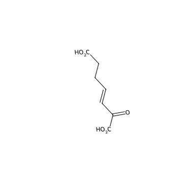 O=C(O)CCC=CC(=O)C(=O)O